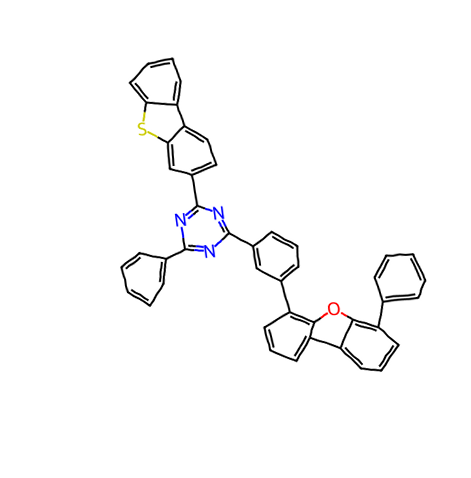 c1ccc(-c2nc(-c3cccc(-c4cccc5c4oc4c(-c6ccccc6)cccc45)c3)nc(-c3ccc4c(c3)sc3ccccc34)n2)cc1